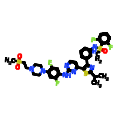 C=S(=O)(Nc1cccc(-c2nc(C(C)C)sc2-c2ccnc(Nc3cc(F)c(N4CCN(CCS(C)(=O)=O)CC4)cc3F)n2)c1)c1c(F)cccc1F